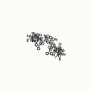 CSCC[C@H](NC(=O)[C@@H]1CCCN1C(=O)[C@H](C)NC(=O)CNC(=O)[C@H](CC(=O)O)N(CCNc1ccc(NCCN(C(=O)OCC2c3ccccc3-c3ccccc32)[C@@H](CC(=O)O)C(=O)NCC(=O)N[C@@H](C)C(=O)N2CCC[C@H]2C(=O)N[C@@H](CCSC)C(N)=O)c2c1C(=O)c1c(O)ccc(O)c1C2=O)C(=O)OCC1c2ccccc2-c2ccccc21)C(N)=O